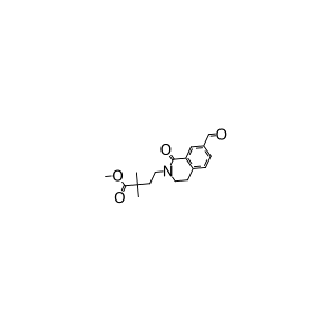 COC(=O)C(C)(C)CCN1CCc2ccc(C=O)cc2C1=O